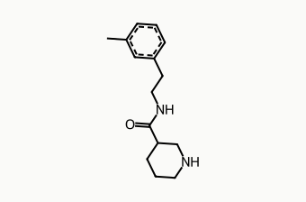 Cc1cccc(CCNC(=O)C2CCCNC2)c1